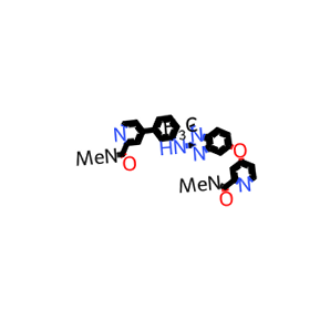 CNC(=O)c1cc(Oc2ccc3c(c2)nc(Nc2cccc(-c4ccnc(C(=O)NC)c4)c2)n3C)ccn1